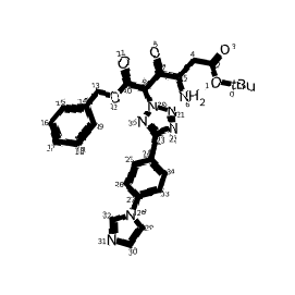 CC(C)(C)OC(=O)CC(N)C(=O)C(C(=O)OCc1ccccc1)n1nnc(-c2ccc(-n3ccnc3)cc2)n1